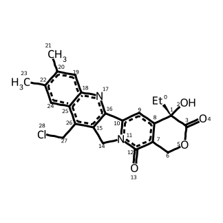 CC[C@@]1(O)C(=O)OCc2c1cc1n(c2=O)Cc2c-1nc1cc(C)c(C)cc1c2CCl